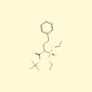 CCOP(=O)(OCC)C(CCc1ccccc1)C(=O)OC(C)(C)C